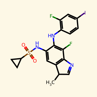 CC1C=Nc2c1cc(NS(=O)(=O)C1CC1)c(Nc1ccc(I)cc1F)c2F